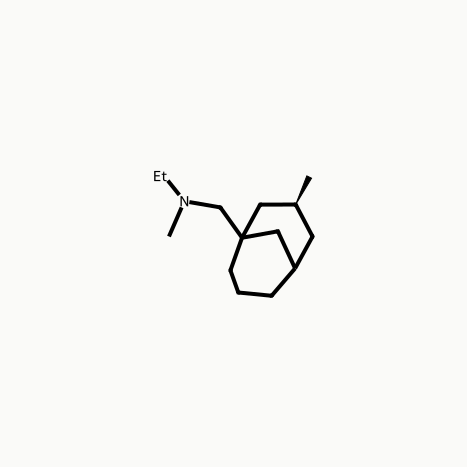 CCN(C)CC12CCCC(C[C@H](C)C1)C2